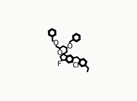 CCc1ccc(Cc2cc3c(cc2Cl)C(F)CC32CC(OCc3ccccc3)CC(COCc3ccccc3)O2)cc1